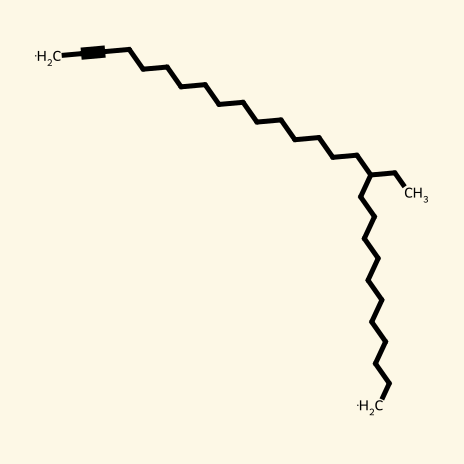 [CH2]C#CCCCCCCCCCCCCCC(CC)CCCCCCCCCC[CH2]